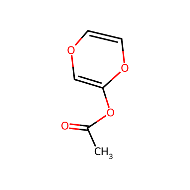 CC(=O)OC1=COC=CO1